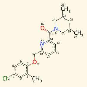 Cc1cc(Cl)ccc1OCc1cccc(C(=O)N2CC(C)CC(C)C2)n1